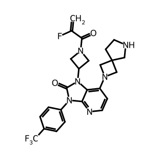 C=C(F)C(=O)N1CC(n2c(=O)n(-c3ccc(C(F)(F)F)cc3)c3nccc(N4CC5(CCNC5)C4)c32)C1